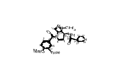 COc1ccc(C(=O)N2CCC(NC(=O)c3ccncc3)c3c2cnn3C)cc1OC